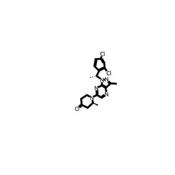 Cc1nn([C@H](C)c2ccc(Cl)cc2Cl)c2nc(N3CCC(=O)C[C@@H]3C)cnc12